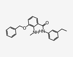 CCc1cccc(NC(=O)c2cccc(OCc3ccccc3)c2NC)c1